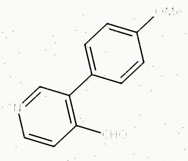 COc1ccc(-c2cnccc2C=O)cc1